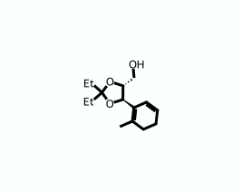 CCC1(CC)O[C@H](C2=C(C)CCC=C2)[C@@H](CO)O1